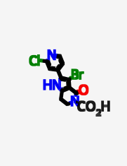 O=C(O)N1CCc2[nH]c(-c3ccnc(Cl)c3)c(Br)c2C1=O